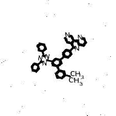 CC(C)c1cccc(-c2cc(-c3ccc(-c4nc5cccnc5c5cnccc45)cc3)cc(-c3nc(-c4ccccc4)nc(-c4ccccc4)n3)c2)c1